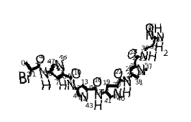 C=C(Br)C(=O)Nc1cc(C(=O)Nc2cc(C(=O)Nc3cc(C(=O)Nc4cc(C(=O)NCCC(N)=NO)n(C)c4)n(C)c3)n(C)c2)n(C)c1